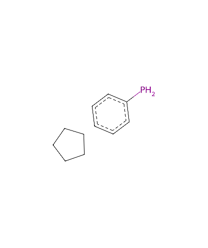 C1CCCC1.Pc1ccccc1